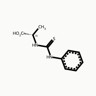 C[C@H](NC(=S)Nc1ccccc1)C(=O)O